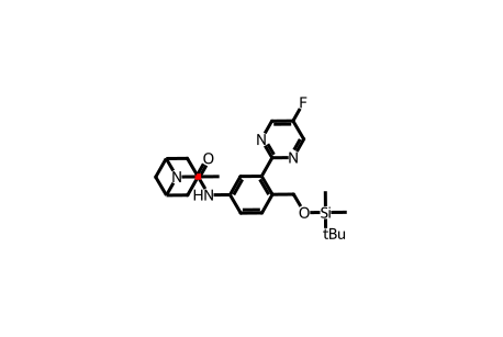 CC1CC2CC(C1)N2C(=O)Nc1ccc(CO[Si](C)(C)C(C)(C)C)c(-c2ncc(F)cn2)c1